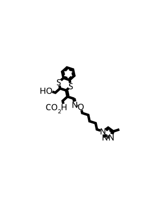 Cc1cn(CCCCCO/N=C/C(CC(=O)O)=C2\Sc3ccccc3SC2CO)nn1